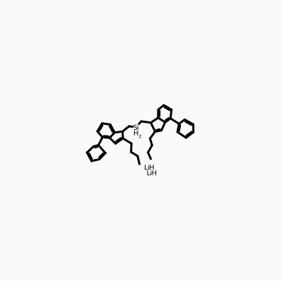 CCCCC1=Cc2c(-c3ccccc3)cccc2C1C[SiH2]CC1C(CCCC)=Cc2c(-c3ccccc3)cccc21.[LiH].[LiH]